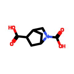 O=C(O)C1CC2CC1CN2C(=O)O